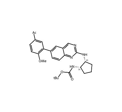 COc1ccc(C(C)=O)cc1-c1ccc2nc(N[C@@H]3CCC[C@@H]3NC(=O)OC(C)(C)C)ncc2c1